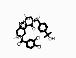 C[C@@H]1Cc2nn3c(c2CN1C(=O)c1ccc(Cl)c(Cl)c1)C(=O)N([C@H](C)c1ccc(C(C)(C)O)cc1)C[C@H]3C